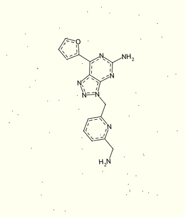 NCc1cccc(Cn2nnc3c(-c4ccco4)nc(N)nc32)n1